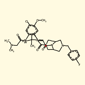 COc1cc(C=CC(=O)N2C3CN(Cc4ccc(F)cc4)CC2CN(C(=O)OC(C)(C)C)C3)c(NC(=O)CN(C)C)cc1Cl